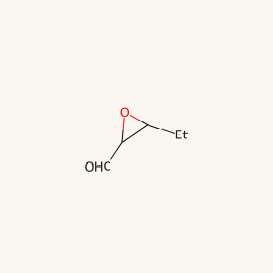 CCC1OC1C=O